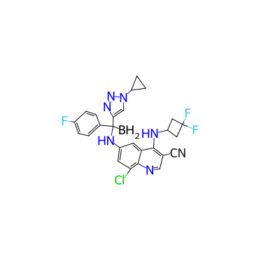 BC(Nc1cc(Cl)c2ncc(C#N)c(NC3CC(F)(F)C3)c2c1)(c1ccc(F)cc1)c1cn(C2CC2)nn1